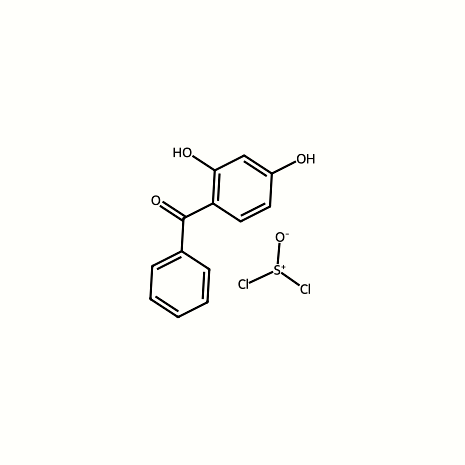 O=C(c1ccccc1)c1ccc(O)cc1O.[O-][S+](Cl)Cl